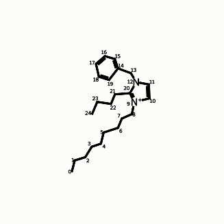 CCCCCCCCC[n+]1ccn(Cc2ccccc2)c1CCCC